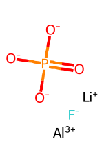 O=P([O-])([O-])[O-].[Al+3].[F-].[Li+]